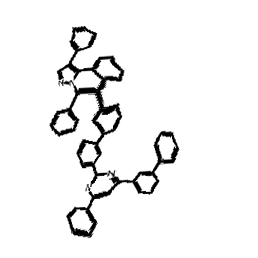 c1ccc(-c2cccc(-c3cc(-c4ccccc4)nc(-c4cccc(-c5cccc(-c6c(-c7ccccc7)n7ncc(-c8ccccc8)c7c7ccccc67)c5)c4)n3)c2)cc1